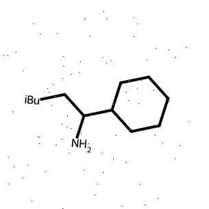 CCC(C)CC(N)C1CCCCC1